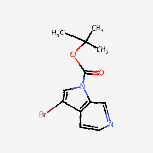 CC(C)(C)OC(=O)n1cc(Br)c2ccncc21